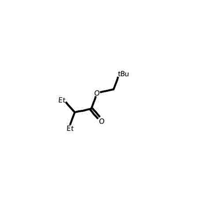 CCC(CC)C(=O)OCC(C)(C)C